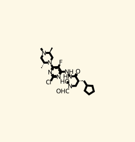 C[C@@H]1CN(C)[C@@H](C)CN1c1nc(Cl)nc(NNC(=O)[C@H](CC2CCCC2)CN(O)C=O)c1F